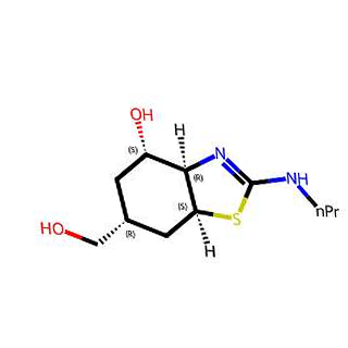 CCCNC1=N[C@H]2[C@H](C[C@H](CO)C[C@@H]2O)S1